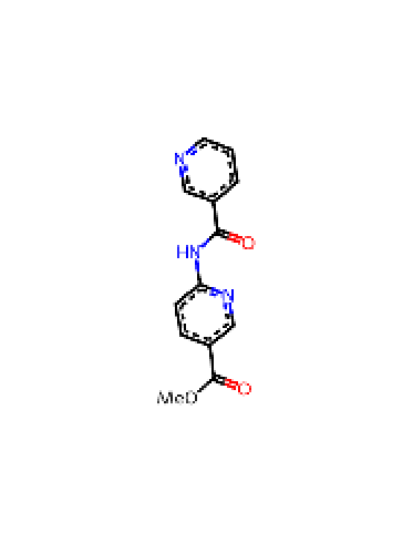 COC(=O)c1ccc(NC(=O)c2cccnc2)nc1